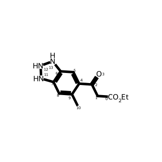 CCOC(=O)CC(=O)c1cc2c(cc1C)NNN2